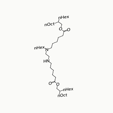 CCCCCCCCC(CCCCCC)COC(=O)CCCCCNCCN(CCCCCC)CCCCCC(=O)OCC(CCCCCC)CCCCCCCC